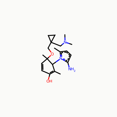 CC1=C(O)C=CC(C)(OCC2(CN(C)C)CC2)C1n1c(C)ccc1N